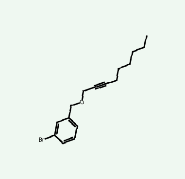 CCCCCCC#CCOCc1cccc(Br)c1